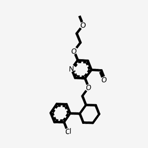 COCCOc1cc(C=O)c(OCC2CCCCC2c2ccccc2Cl)cn1